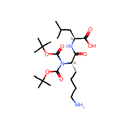 CC(C)C[C@H](NC(=O)[C@H](CCCCN)N(C(=O)OC(C)(C)C)C(=O)OC(C)(C)C)C(=O)O